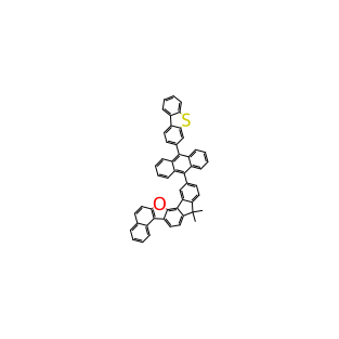 CC1(C)c2ccc(-c3c4ccccc4c(-c4ccc5c(c4)sc4ccccc45)c4ccccc34)cc2-c2c1ccc1c2oc2ccc3ccccc3c21